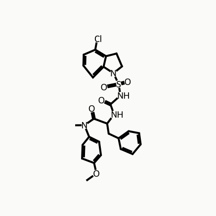 COc1ccc(N(C)C(=O)C(Cc2ccccc2)NC(=O)NS(=O)(=O)N2CCc3c(Cl)cccc32)cc1